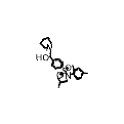 Cc1ccc(N(CC(C)C)S(=O)(=O)c2ccc(C(O)CN3CCCCC3)cc2)c(C)c1